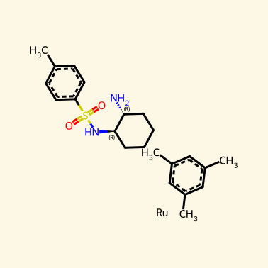 Cc1cc(C)cc(C)c1.Cc1ccc(S(=O)(=O)N[C@@H]2CCCC[C@H]2N)cc1.[Ru]